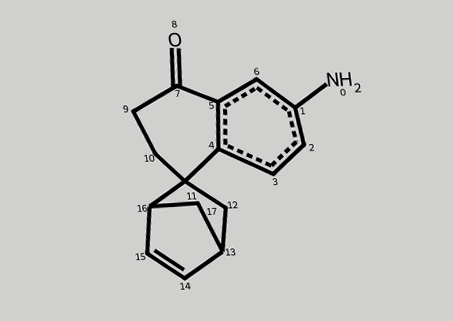 Nc1ccc2c(c1)C(=O)CCC21CC2C=CC1C2